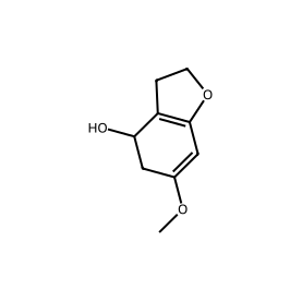 COC1=CC2=C(CCO2)C(O)C1